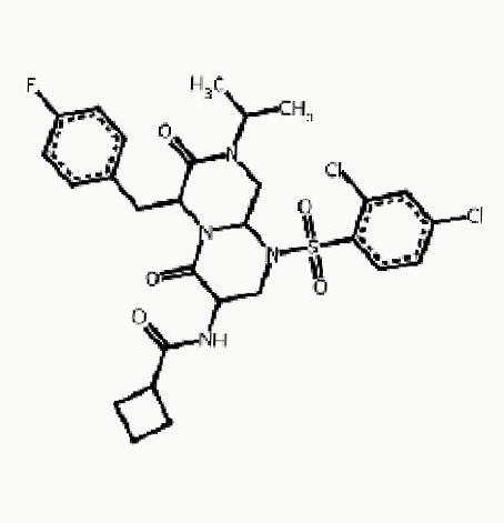 CC(C)N1CC2N(C(=O)C(NC(=O)C3CCC3)CN2S(=O)(=O)c2ccc(Cl)cc2Cl)C(Cc2ccc(F)cc2)C1=O